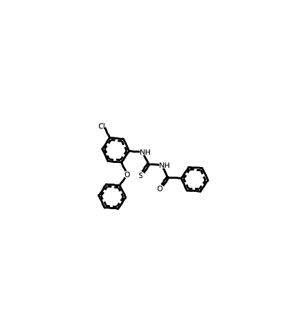 O=C(NC(=S)Nc1cc(Cl)ccc1Oc1ccccc1)c1ccccc1